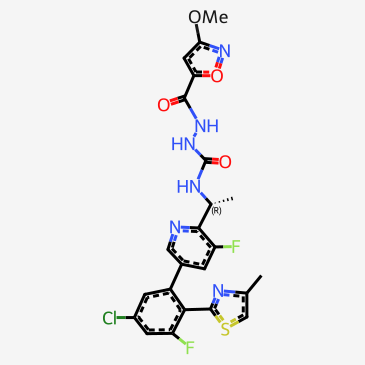 COc1cc(C(=O)NNC(=O)N[C@H](C)c2ncc(-c3cc(Cl)cc(F)c3-c3nc(C)cs3)cc2F)on1